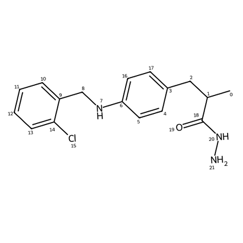 CC(Cc1ccc(NCc2ccccc2Cl)cc1)C(=O)NN